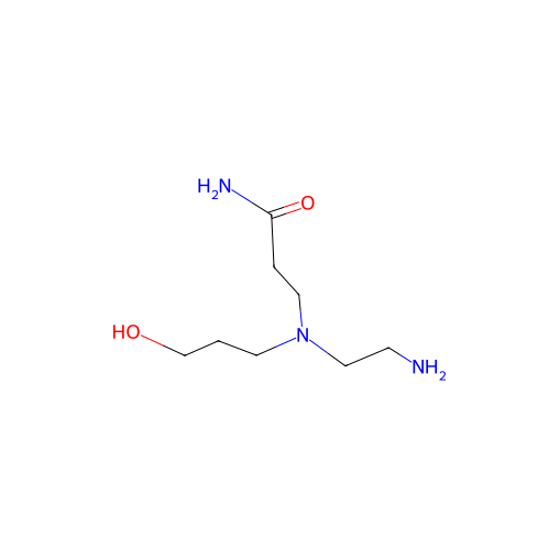 NCCN(CCCO)CCC(N)=O